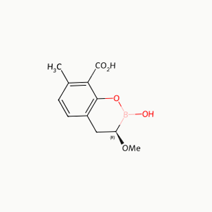 CO[C@H]1Cc2ccc(C)c(C(=O)O)c2OB1O